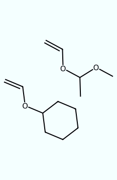 C=COC(C)OC.C=COC1CCCCC1